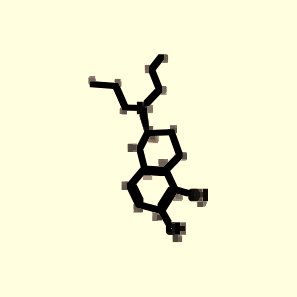 CCCN(CCC)[C@H]1CCc2c(ccc(O)c2O)C1